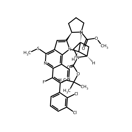 COC(=O)N1CCC[C@@H]1c1cc2c(SC)nc3c(F)c(-c4cccc(Cl)c4Cl)ncc3c2n1[C@H]1[C@@H]2C[C@H]1N(C(=O)OC(C)(C)C)C2